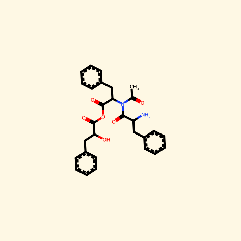 CC(=O)N(C(=O)C(N)Cc1ccccc1)C(Cc1ccccc1)C(=O)OC(=O)C(O)Cc1ccccc1